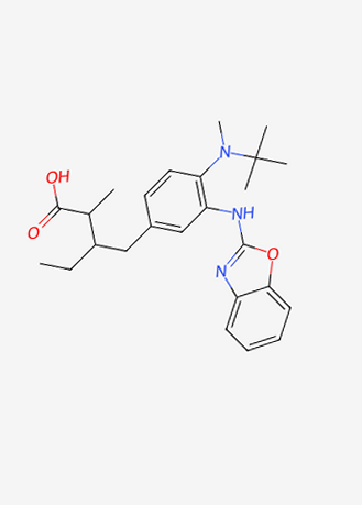 CCC(Cc1ccc(N(C)C(C)(C)C)c(Nc2nc3ccccc3o2)c1)C(C)C(=O)O